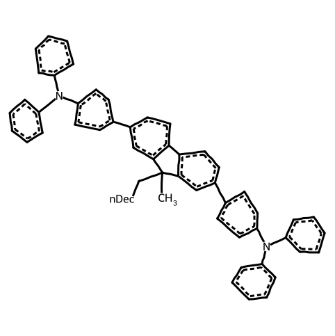 CCCCCCCCCCCC1(C)c2cc(-c3ccc(N(c4ccccc4)c4ccccc4)cc3)ccc2-c2ccc(-c3ccc(N(c4ccccc4)c4ccccc4)cc3)cc21